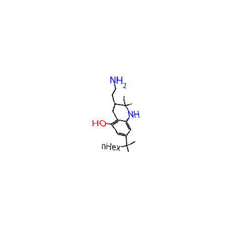 CCCCCCC(C)(C)c1cc(O)c2c(c1)NC(C)(C)C(CCN)C2